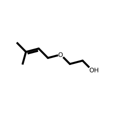 CC(C)=CCOCCO